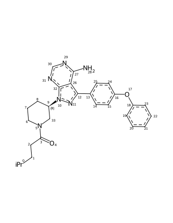 CC(C)CCC(=O)N1CCC[C@@H](n2nc(-c3ccc(Oc4ccccc4)cc3)c3c(N)ncnc32)C1